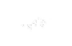 CN/C=C(\C=N)c1ccc(Cc2cc(C(=O)NC3CCCCC3)nc(C)c2C)cn1